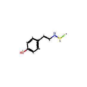 Oc1ccc(CCNSF)cc1